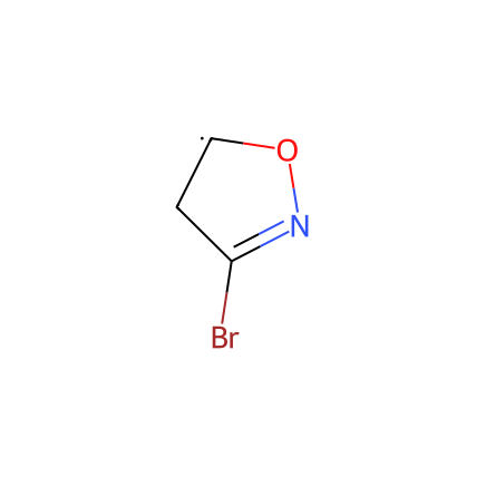 BrC1=NO[CH]C1